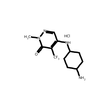 Cl.Cn1ncc(NC2CCC(N)CC2)c(C(F)(F)F)c1=O